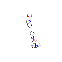 CN/N=C(\C=N)CC(=O)/N=C/C1CCC(CCN2CCc3ccc(OCC(C)(F)F)nc3CC2)CC1